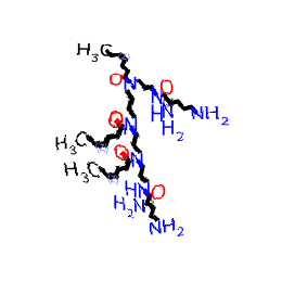 CC/C=C\CCC(=O)N(CCCCN(CCCN(CCCNC(=O)[C@@H](N)CCCN)C(=O)CC/C=C\CC)C(=O)CC/C=C\CC)CCCNC(=O)[C@@H](N)CCCN